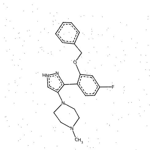 CN1CCN(c2c[nH]nc2-c2ccc(F)cc2OCc2ccccc2)CC1